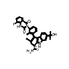 CC1=C(c2cccc(-n3c(=O)[nH]c4c(F)cccc4c3=O)c2C)c2c([nH]c3cc(C(C)(C)O)ccc23)[C@@H](C(N)=O)C1